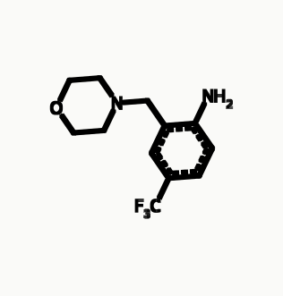 Nc1ccc(C(F)(F)F)cc1CN1CCOCC1